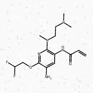 C=CC(=O)Nc1cc(N)c(OCC(F)F)nc1N(C)CCN(C)C